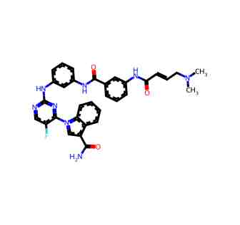 CN(C)C/C=C/C(=O)Nc1cccc(C(=O)Nc2cccc(Nc3ncc(F)c(-n4cc(C(N)=O)c5ccccc54)n3)c2)c1